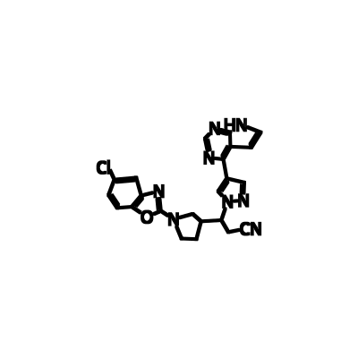 N#CCC(C1CCN(c2nc3cc(Cl)ccc3o2)C1)n1cc(-c2ncnc3[nH]ccc23)cn1